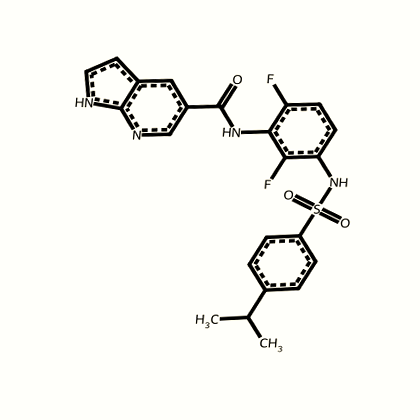 CC(C)c1ccc(S(=O)(=O)Nc2ccc(F)c(NC(=O)c3cnc4[nH]ccc4c3)c2F)cc1